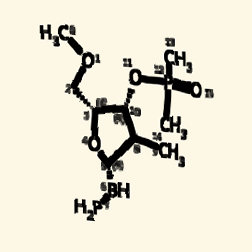 COC[C@H]1O[C@@H](BP)C(C)[C@H]1OP(C)(C)=O